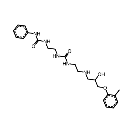 Cc1ccccc1OCC(O)CNCCNC(=O)NCCNC(=O)Nc1ccccc1